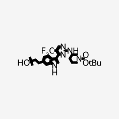 CC(C)(O)CCc1ccc2c(-c3nc(N[C@H]4CCCN(C(=O)OC(C)(C)C)C4)ncc3C(F)(F)F)c[nH]c2c1